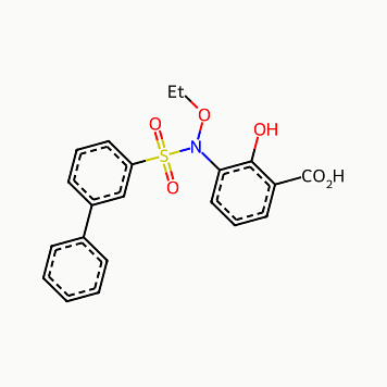 CCON(c1cccc(C(=O)O)c1O)S(=O)(=O)c1cccc(-c2ccccc2)c1